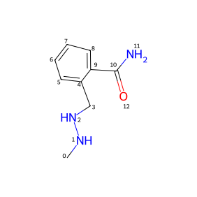 CNNCc1ccccc1C(N)=O